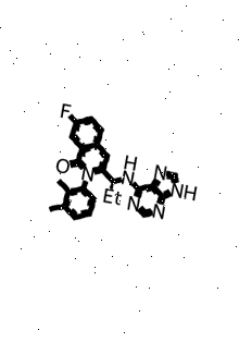 CC[C@H](Nc1ncnc2[nH]cnc12)c1cc2ccc(F)cc2c(=O)n1-c1cccc(C)c1C